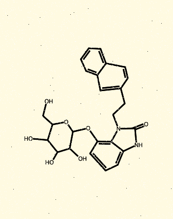 O=c1[nH]c2cccc(OC3OC(CO)C(O)C(O)C3O)c2n1CCc1ccc2ccccc2c1